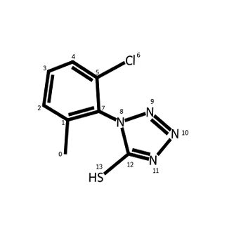 Cc1cccc(Cl)c1-n1nnnc1S